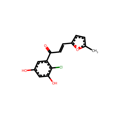 Cc1ccc(/C=C/C(=O)c2cc(O)cc(O)c2Cl)o1